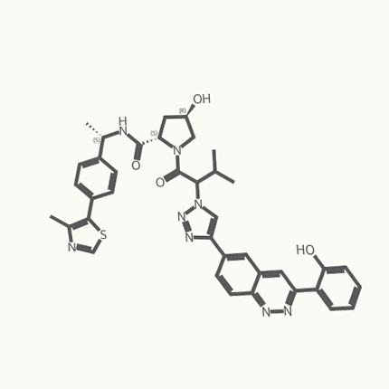 Cc1ncsc1-c1ccc([C@H](C)NC(=O)[C@@H]2C[C@@H](O)CN2C(=O)C(C(C)C)n2cc(-c3ccc4nnc(-c5ccccc5O)cc4c3)nn2)cc1